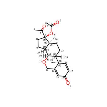 CC(=O)O[C@]1(C(C)=O)CC[C@H]2[C@@H]3OCC4=CC(=O)C=C[C@]4(C)[C@H]3CC[C@@]21C